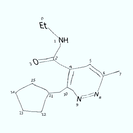 CCNC(=O)c1cc(C)nnc1C1CCCC1